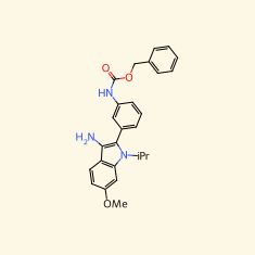 COc1ccc2c(N)c(-c3cccc(NC(=O)OCc4ccccc4)c3)n(C(C)C)c2c1